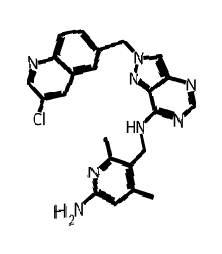 Cc1cc(N)nc(C)c1CNc1ncnc2cn(Cc3ccc4ncc(Cl)cc4c3)nc12